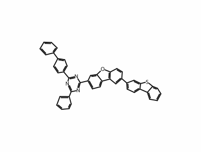 c1ccc(-c2ccc(-c3nc(-c4ccccc4)nc(-c4ccc5c(c4)oc4ccc(-c6ccc7c(c6)sc6ccccc67)cc45)n3)cc2)cc1